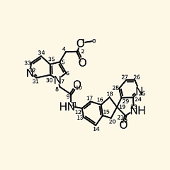 COC(=O)Cc1cn(CC(=O)Nc2ccc3c(c2)CC2(C3)C(=O)Nc3ncccc32)c2cnccc12